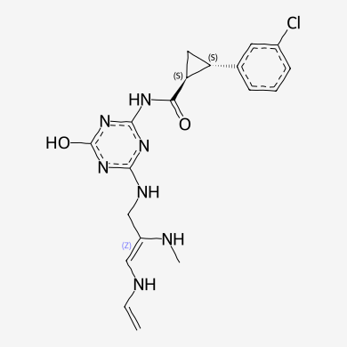 C=CN/C=C(/CNc1nc(O)nc(NC(=O)[C@H]2C[C@@H]2c2cccc(Cl)c2)n1)NC